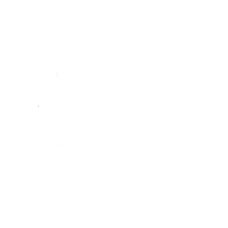 CCc1ccc2ccc(CC=O)cc2c1